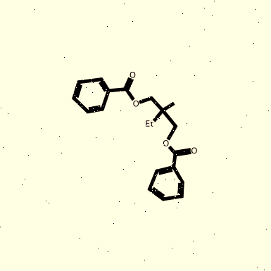 CCC(C)(COC(=O)c1ccccc1)COC(=O)c1ccccc1